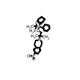 CC(C)(CO[Si](c1ccccc1)(c1ccccc1)C(C)(C)C)N1CCc2ccc([N+](=O)[O-])cc2CC1